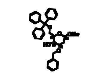 CO[C@H]1C[C@H](OCc2ccccc2)[C@H](O)[C@@H](COC(c2ccccc2)(c2ccccc2)c2ccccc2)O1